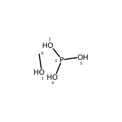 CO.OP(O)O